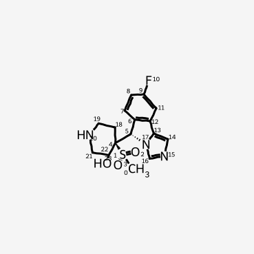 CS(=O)(=O)[C@]1([C@@H]2c3ccc(F)cc3-c3cncn32)CCNC[C@@H]1O